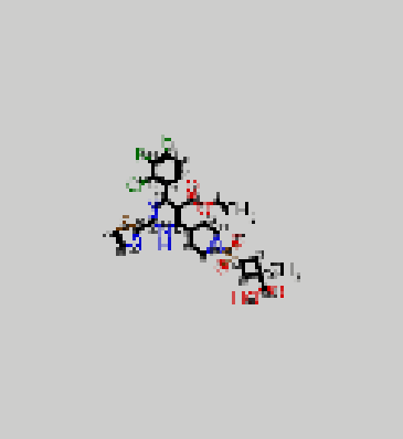 CCOC(=O)C1=C(C2CCN(S(=O)(=O)[C@H]3C[C@@](C)(C(=O)O)C3)CC2)NC(c2nccs2)=NC1c1ccc(F)c(F)c1Cl